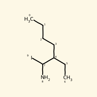 CCCCC(CC)C(N)I